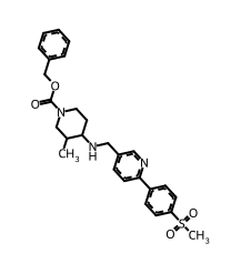 CC1CN(C(=O)OCc2ccccc2)CCC1NCc1ccc(-c2ccc(S(C)(=O)=O)cc2)nc1